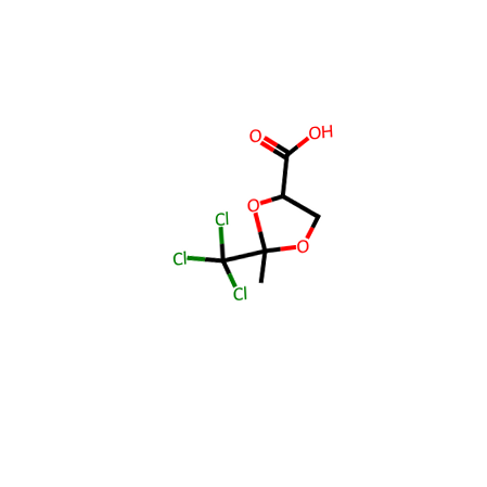 CC1(C(Cl)(Cl)Cl)OCC(C(=O)O)O1